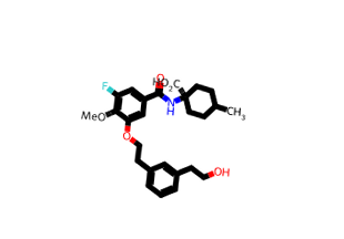 COc1c(F)cc(C(=O)NC2(C(=O)O)CCC(C)CC2)cc1OCCc1cccc(CCO)c1